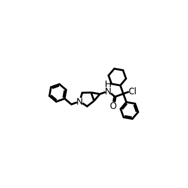 O=C(NC1C2CN(Cc3ccccc3)CC21)C(Cl)(c1ccccc1)C1CCCCC1